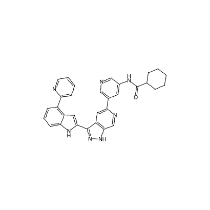 O=C(Nc1cncc(-c2cc3c(-c4cc5c(-c6ccccn6)cccc5[nH]4)n[nH]c3cn2)c1)C1CCCCC1